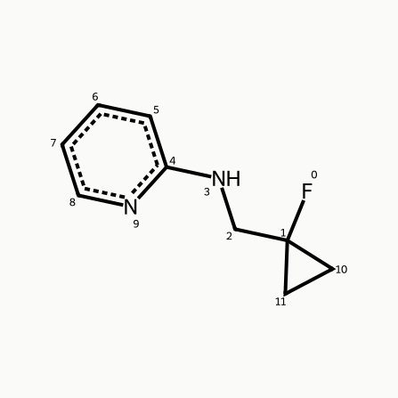 FC1(CNc2ccccn2)CC1